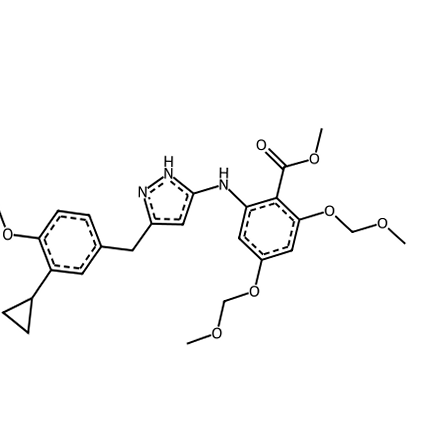 COCOc1cc(Nc2cc(Cc3ccc(OC)c(C4CC4)c3)n[nH]2)c(C(=O)OC)c(OCOC)c1